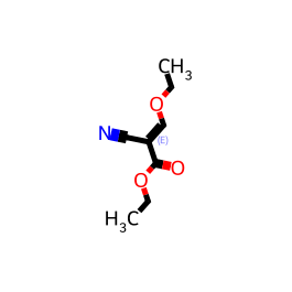 CCO/C=C(\C#N)C(=O)OCC